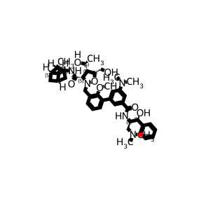 C=C1[C@H]2C[C@H](NC(=O)[C@@H]3[C@H]([C@H](C)O)[C@H](CO)ON3Cc3cccc(-c4cc(C(=O)N[C@H](CN(C)C)[C@H](O)c5ccccc5)cc(N(C)C)c4)c3OC)[C@@H](C)[C@@H]1C2